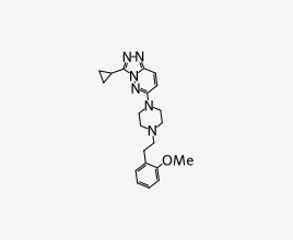 COc1ccccc1CCN1CCN(c2ccc3nnc(C4CC4)n3n2)CC1